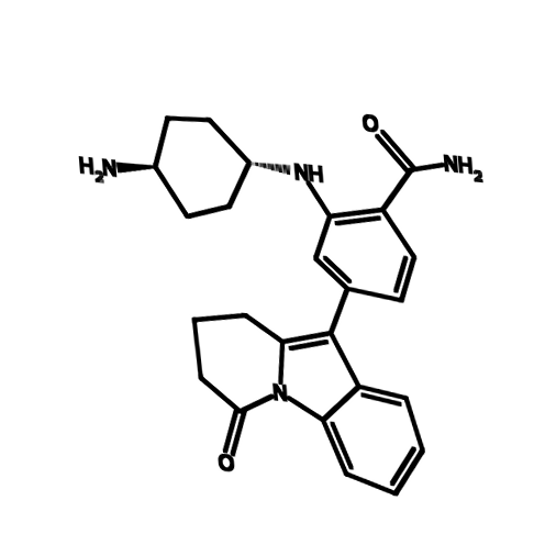 NC(=O)c1ccc(-c2c3n(c4ccccc24)C(=O)CCC3)cc1N[C@H]1CC[C@H](N)CC1